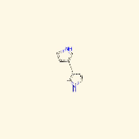 [c]1[nH]ccc1-c1cc[nH]c1